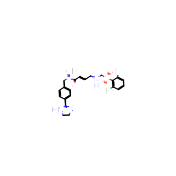 CN(Cc1ccc(C2=NCCN2)cc1)C(=O)/C=C/CNCS(=O)(=O)c1c(F)cccc1F